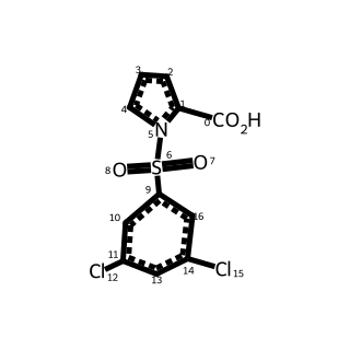 O=C(O)c1cccn1S(=O)(=O)c1cc(Cl)cc(Cl)c1